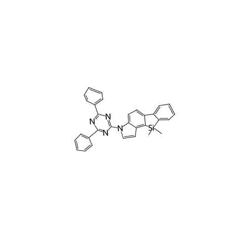 C[Si]1(C)c2ccccc2-c2ccc3c(ccn3-c3nc(-c4ccccc4)nc(-c4ccccc4)n3)c21